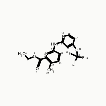 CCOC(=O)c1nc(Nc2cc(OC(F)(F)F)ccn2)ccc1C